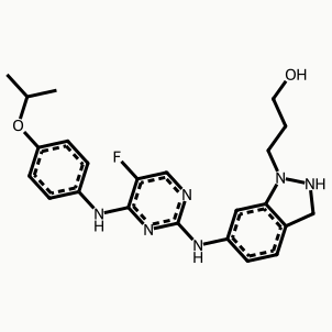 CC(C)Oc1ccc(Nc2nc(Nc3ccc4c(c3)N(CCCO)NC4)ncc2F)cc1